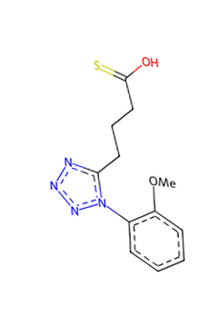 COc1ccccc1-n1nnnc1CCCC(O)=S